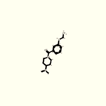 CN(C)C1CCN(C(=O)c2cccc(OCC(F)(F)F)c2)CC1